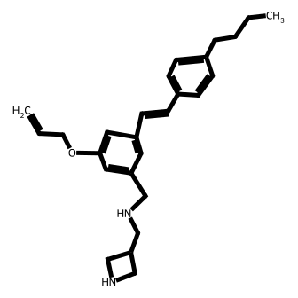 C=CCOc1cc(/C=C/c2ccc(CCCC)cc2)cc(CNCC2CNC2)c1